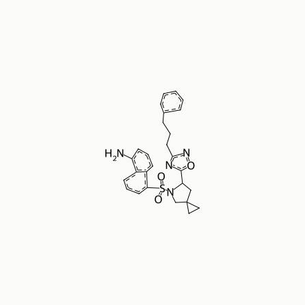 Nc1cccc2c(S(=O)(=O)N3CC4(CC4)CC3c3nc(CCCc4ccccc4)no3)cccc12